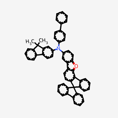 CC1(C)c2ccccc2-c2ccc(N(c3ccc(-c4ccccc4)cc3)c3ccc4oc5c6c(ccc5c4c3)C3(c4ccccc4-c4ccccc43)c3ccccc3-6)cc21